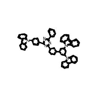 c1ccc(-c2nc(-c3ccc(-n4c5ccccc5c5ccccc54)cc3)nc(-c3cccc(-c4cc(-n5c6ccccc6c6ccccc65)cc(-n5c6ccccc6c6ccccc65)c4)c3)n2)cc1